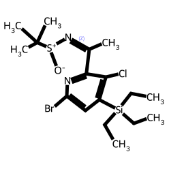 CC[Si](CC)(CC)c1cc(Br)nc(/C(C)=N\[S+]([O-])C(C)(C)C)c1Cl